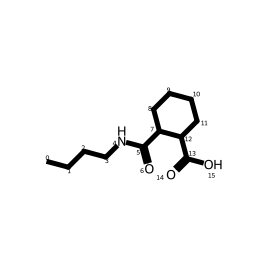 CCCCNC(=O)C1CCCCC1C(=O)O